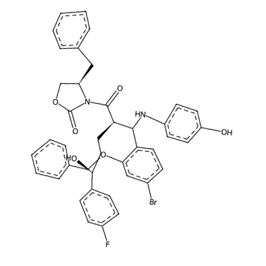 O=C1OC[C@@H](Cc2ccccc2)N1C(=O)[C@H](CC[C@H](O)c1ccc(F)cc1)C(Nc1ccc(O)cc1)c1ccc(Br)cc1OCc1ccccc1